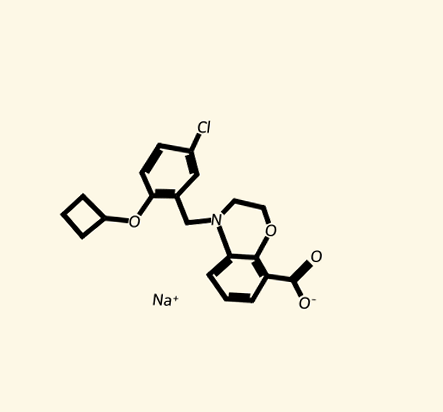 O=C([O-])c1cccc2c1OCCN2Cc1cc(Cl)ccc1OC1CCC1.[Na+]